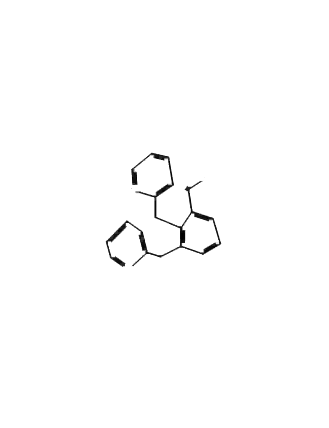 NC(=O)c1cccc(Cc2ccccn2)c1Cc1ccccn1